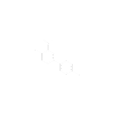 O=[N+]([O-])c1cc(-c2ccc(Br)cc2)ccc1Br